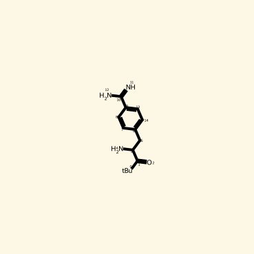 CC(C)(C)C(=O)C(N)Cc1ccc(C(=N)N)cc1